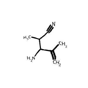 C=C(C)C(N)C(C)C#N